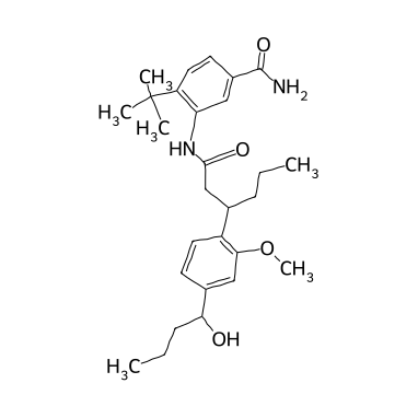 CCCC(O)c1ccc(C(CCC)CC(=O)Nc2cc(C(N)=O)ccc2C(C)(C)C)c(OC)c1